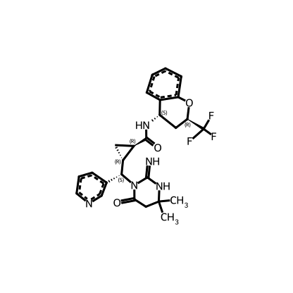 CC1(C)CC(=O)N([C@H](c2cccnc2)[C@@H]2C[C@H]2C(=O)N[C@H]2C[C@H](C(F)(F)F)Oc3ccccc32)C(=N)N1